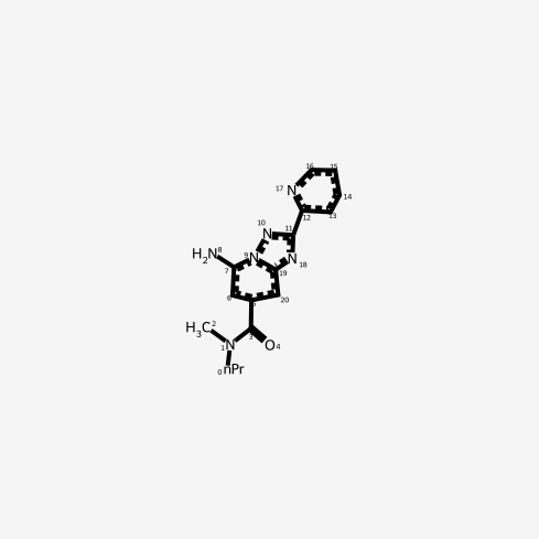 CCCN(C)C(=O)c1cc(N)n2nc(-c3ccccn3)nc2c1